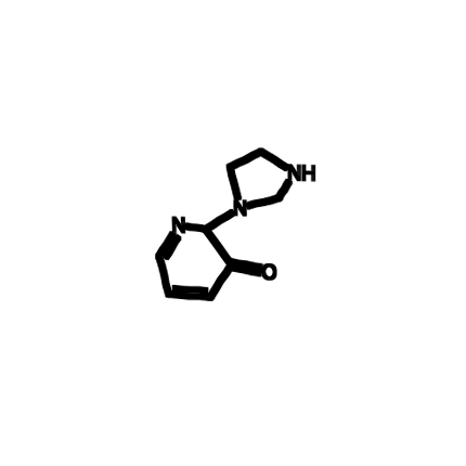 O=C1C=CC=NC1N1CCNC1